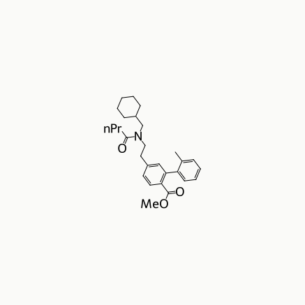 CCCC(=O)N(CCc1ccc(C(=O)OC)c(-c2ccccc2C)c1)CC1CCCCC1